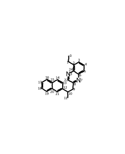 CCc1cccc2nc(CC(C)c3ccc4ccccc4c3)cnc12